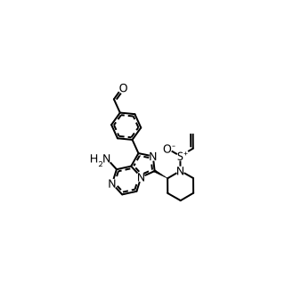 C=C[S+]([O-])N1CCCC[C@H]1c1nc(-c2ccc(C=O)cc2)c2c(N)nccn12